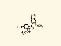 COc1ccc(OC)c(C(=O)C2C=CC(O)=CC2(O)OC)c1